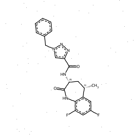 C[C@H]1C[C@@H](NC(=O)c2cn(Cc3ccccc3)nn2)C(=O)Nc2c(F)cc(F)cc21